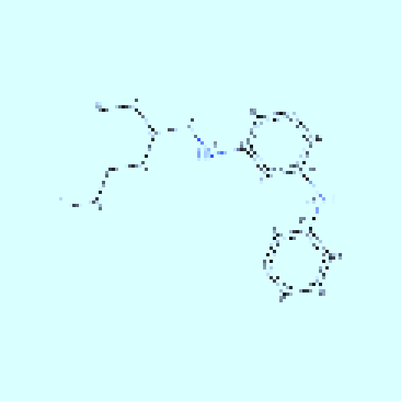 CCCCC(CC)CNc1cccc(Nc2ccccc2)c1